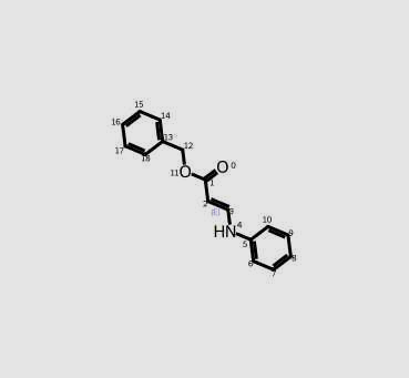 O=C(/C=C/Nc1ccccc1)OCc1ccccc1